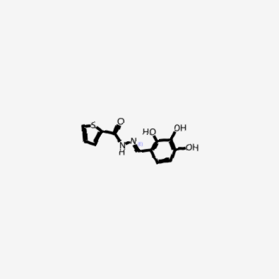 O=C(N/N=C/c1ccc(O)c(O)c1O)c1cccs1